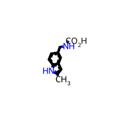 Cc1cc2cc(CNC(=O)O)ccc2[nH]1